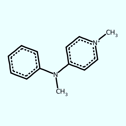 CN(c1ccccc1)c1cc[n+](C)cc1